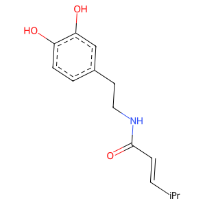 CC(C)/C=C/C(=O)NCCc1ccc(O)c(O)c1